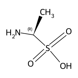 C[C@H](N)S(=O)(=O)O